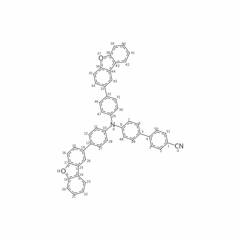 N#Cc1ccc(-c2ccc(N(c3ccc(-c4ccc5oc6ccccc6c5c4)cc3)c3ccc(-c4ccc5oc6ccccc6c5c4)cc3)cc2)cc1